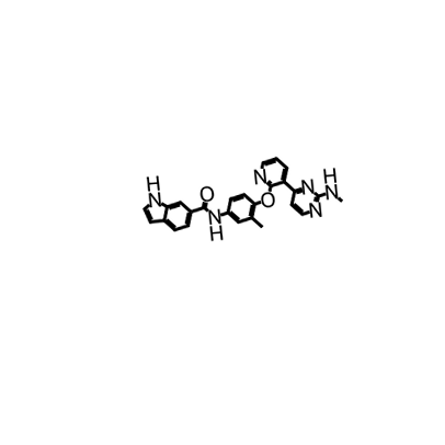 CNc1nccc(-c2cccnc2Oc2ccc(NC(=O)c3ccc4cc[nH]c4c3)cc2C)n1